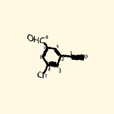 C#Cc1cc(Cl)cc(C=O)c1